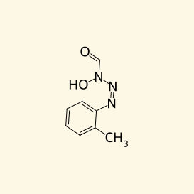 Cc1ccccc1/N=N\N(O)C=O